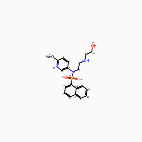 COc1ccc(N(CCNCCO)S(=O)(=O)c2cccc3ccccc23)cn1